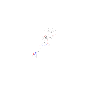 COC(=O)C1OC(Oc2ccc3c(CNC(=O)CCCCNC(=O)OCC(C)C)cc(=O)oc3c2)C(OC(C)=O)C(OC(C)=O)C1OC(C)=O